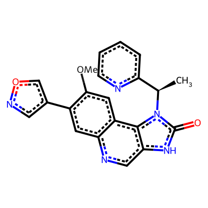 COc1cc2c(cc1-c1cnoc1)ncc1[nH]c(=O)n([C@H](C)c3ccccn3)c12